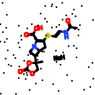 CC(=O)NC=CSC1=C(C(=O)O)N2CC(C3(C)COC(=O)O3)C2C1.[NaH]